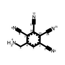 N#Cc1cc(CN)c(C#N)c(C#N)c1C#N